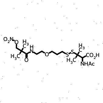 CC(=O)NC(C(=O)O)C(C)(C)SSCCCOCCNC(=O)C(C)(C)CO[N+](=O)[O-]